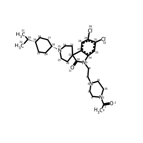 CC(=O)N1CCN(CCN2C(=O)C3(CCN([C@H]4CC[C@@H](C(C)C)CC4)CC3)c3cc(Cl)c(Cl)cc32)CC1